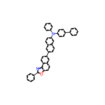 c1ccc(-c2ccc(N(c3ccccc3)c3ccc4cc(-c5ccc6c(ccc7oc(-c8ccccc8)nc76)c5)ccc4c3)cc2)cc1